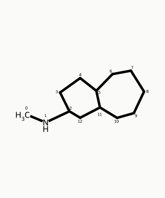 CNC1CCC2CCCCCC2C1